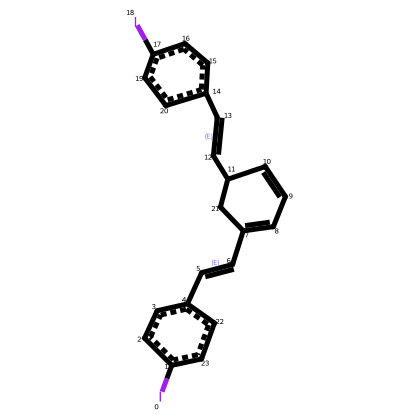 Ic1ccc(/C=C/C2=CC=CC(/C=C/c3ccc(I)cc3)C2)cc1